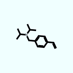 C=Cc1ccc(CN(C(C)C)C(C)C)cc1